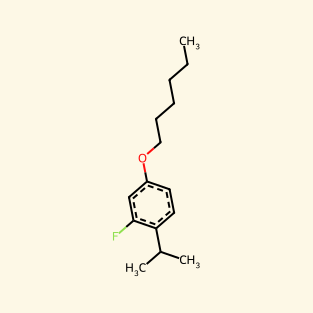 CCCCCCOc1ccc(C(C)C)c(F)c1